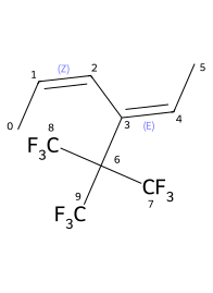 C/C=C\C(=C/C)C(C(F)(F)F)(C(F)(F)F)C(F)(F)F